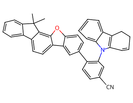 CC1(C)c2ccccc2-c2ccc3c(oc4ccc(-c5ccc(C#N)cc5-n5c6c(c7ccccc75)CCC=C6)cc43)c21